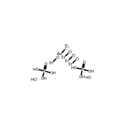 CCC(C)C.CCCl.CCCl.CCCl.CCCl.Cl.Cl.O=P(O)(O)O.O=P(O)(O)O